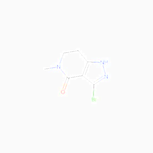 CN1CCc2[nH]nc(Br)c2C1=O